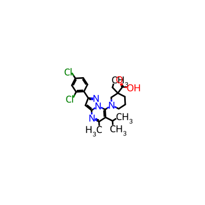 CCC1(C(=O)O)CCCN(c2c(C(C)C)c(C)nc3cc(-c4ccc(Cl)cc4Cl)nn23)C1